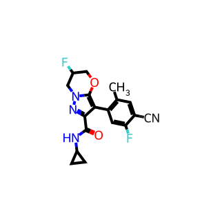 Cc1cc(C#N)c(F)cc1-c1c(C(=O)NC2CC2)nn2c1OCC(F)C2